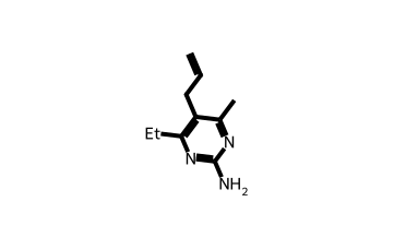 C=CCc1c(C)nc(N)nc1CC